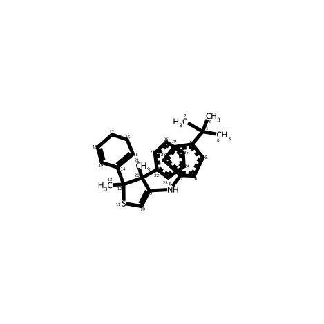 CC(C)(C)c1ccc(NC2=CSC(C)(C3=CCCC=C3)C2(C)c2ccccc2)cc1